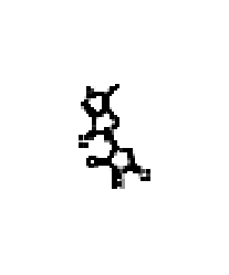 Cc1scc2c1CN([C@H]1CC(=O)NC1=O)C2=O